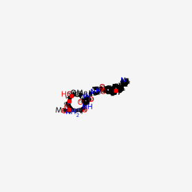 CO[C@H]1/C=C\C=C(/C)C(=O)NC2=CC(=O)C(NCCN3CCN(C(=O)O[C@H]4CC[C@@]5(C)C(=CC[C@@H]6[C@@H]5CC[C@]5(C)C(c7cccnc7)=CC[C@@H]65)C4)CC3)=C(C[C@@H](C)C[C@H](OC)[C@@H](O)[C@@H](C)/C=C(\C)C1OC(N)=O)C2=O